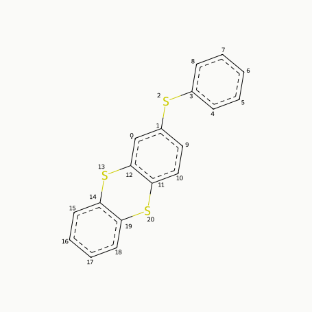 [c]1c(Sc2ccccc2)ccc2c1Sc1ccccc1S2